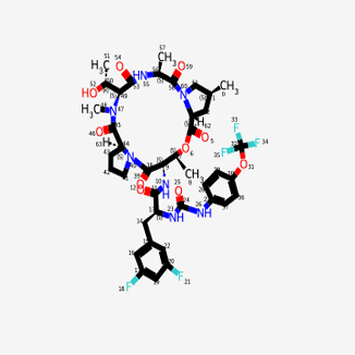 C[C@H]1C[C@H]2C(=O)O[C@@H](C)[C@H](NC(=O)[C@H](Cc3cc(F)cc(F)c3)NC(=O)Nc3ccc(OC(F)(F)F)cc3)C(=O)N3CCC[C@H]3C(=O)N(C)[C@@H]([C@@H](C)O)C(=O)N[C@@H](C)C(=O)N2C1